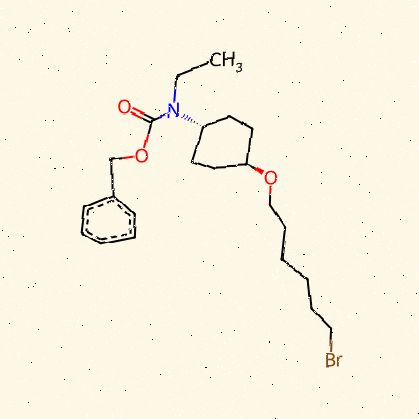 CCN(C(=O)OCc1ccccc1)[C@H]1CC[C@H](OCCCCCCBr)CC1